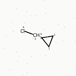 C1CC1.CCl